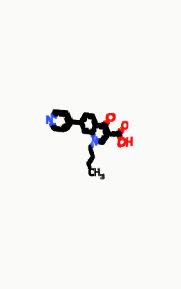 CCCCn1cc(C(=O)O)c(=O)c2ccc(-c3ccncc3)cc21